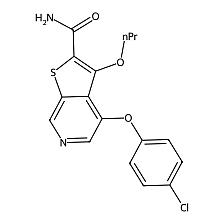 CCCOc1c(C(N)=O)sc2cncc(Oc3ccc(Cl)cc3)c12